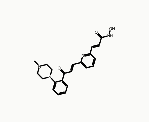 CN1CCN(c2ccccc2C(=O)/C=C/c2cccc(/C=C/C(=O)NO)n2)CC1